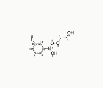 OCCOOB(O)c1cccc(F)c1